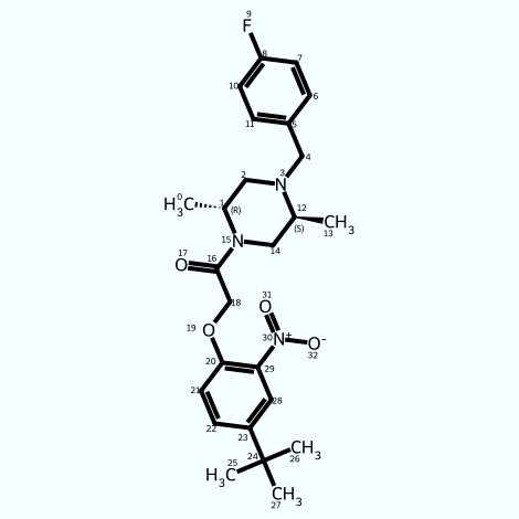 C[C@@H]1CN(Cc2ccc(F)cc2)[C@@H](C)CN1C(=O)COc1ccc(C(C)(C)C)cc1[N+](=O)[O-]